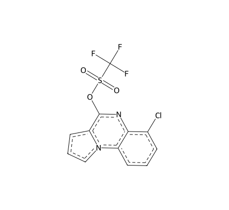 O=S(=O)(Oc1nc2c(Cl)cccc2n2cccc12)C(F)(F)F